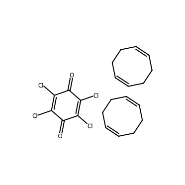 C1=C\CC/C=C\CC/1.C1=C\CC/C=C\CC/1.O=C1C(Cl)=C(Cl)C(=O)C(Cl)=C1Cl